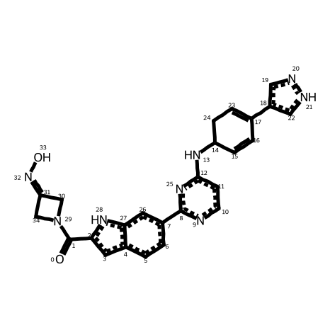 O=C(c1cc2ccc(-c3nccc(NC4C=CC(c5cn[nH]c5)=CC4)n3)cc2[nH]1)N1CC(=NO)C1